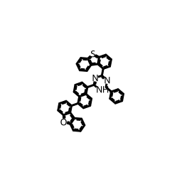 N/C(=N\C(=N/Cc1ccccc1)c1cccc2sc3ccccc3c12)c1cccc2c(-c3cccc4oc5ccccc5c34)cccc12